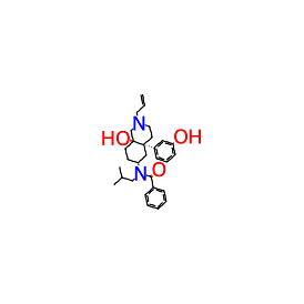 C=CCN1CC[C@@]2(c3cccc(O)c3)C[C@H](N(CC(C)C)C(=O)c3ccccc3)CC[C@]2(O)C1